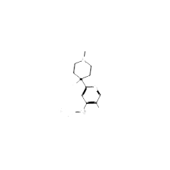 CN1CCC(F)(c2cc(NC(=O)O)c(Cl)cn2)CC1